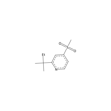 CCC(C)(C)c1cc(S(C)(=O)=O)ccn1